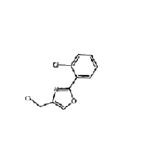 ClCc1coc(-c2ccccc2Cl)n1